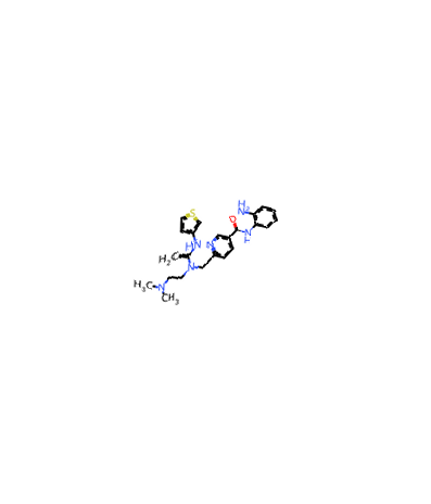 C=C(Nc1ccsc1)N(CCN(C)C)Cc1ccc(C(=O)Nc2ccccc2N)cn1